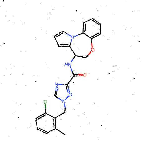 Cc1cccc(Cl)c1Cn1cnc(C(=O)NC2COc3ccccc3-n3cccc32)n1